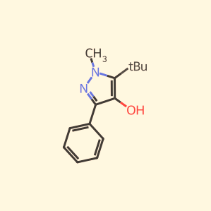 Cn1nc(-c2ccccc2)c(O)c1C(C)(C)C